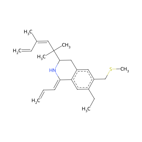 C=C/C=C1\NC(C(C)(C)C=C(C)C=C)Cc2cc(CSC)c(CC)cc21